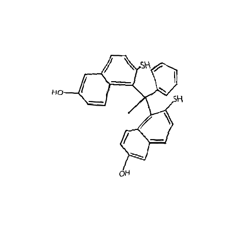 CC(c1ccccc1)(c1c(S)ccc2cc(O)ccc12)c1c(S)ccc2cc(O)ccc12